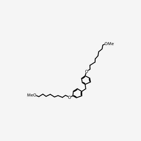 COCCCCCCCCOc1ccc(Cc2ccc(OCCCCCCCCOC)cc2)cc1